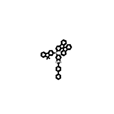 CC1(C)c2ccccc2-c2ccc(N(c3ccc4c(c3)C3(c5ccccc5-c5ccccc53)c3ccccc3-4)c3ccc4nc(-c5ccc(-c6ccccc6)cc5)oc4c3)cc21